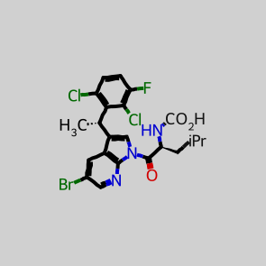 CC(C)C[C@H](NC(=O)O)C(=O)n1cc([C@H](C)c2c(Cl)ccc(F)c2Cl)c2cc(Br)cnc21